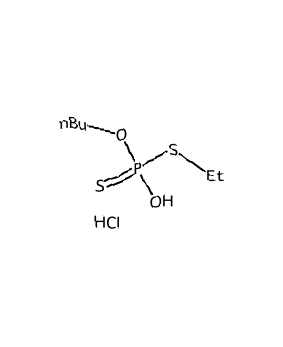 CCCCOP(O)(=S)SCC.Cl